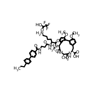 CCCc1ccc(-c2ccc(C(=O)NCCC(=O)NC(CCCCN)C(=O)N(C)[C@@H]3C(=O)N[C@@H](C)C(=O)N[C@H](C(=O)O)Cc4ccc(OC)c(c4)-c4cc3ccc4OC)cc2)cc1.O=C(O)C(F)(F)F